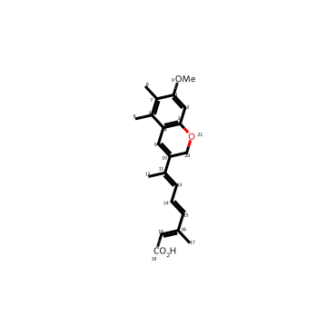 COc1cc2c(c(C)c1C)C=C(C(C)=CC=CC(C)=CC(=O)O)CO2